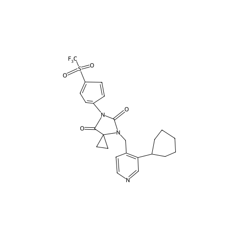 O=C1N(c2ccc(S(=O)(=O)C(F)(F)F)cc2)C(=O)C2(CC2)N1Cc1ccncc1C1CCCCC1